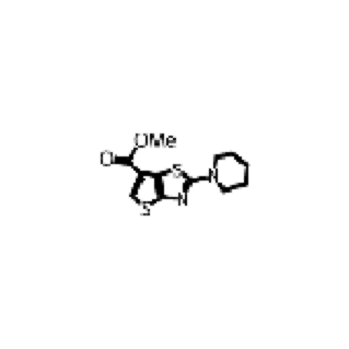 COC(=O)c1csc2nc(N3CCCCC3)sc12